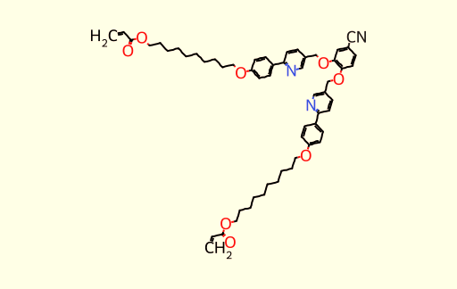 C=CC(=O)OCCCCCCCCCCOc1ccc(-c2ccc(COc3ccc(C#N)cc3OCc3ccc(-c4ccc(OCCCCCCCCCCOC(=O)C=C)cc4)nc3)cn2)cc1